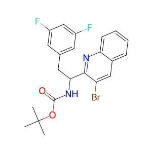 CC(C)(C)OC(=O)NC(Cc1cc(F)cc(F)c1)c1nc2ccccc2cc1Br